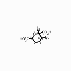 CC[C@H]1CC[C@@H](C(=O)O)OC1(CC)C(=O)O